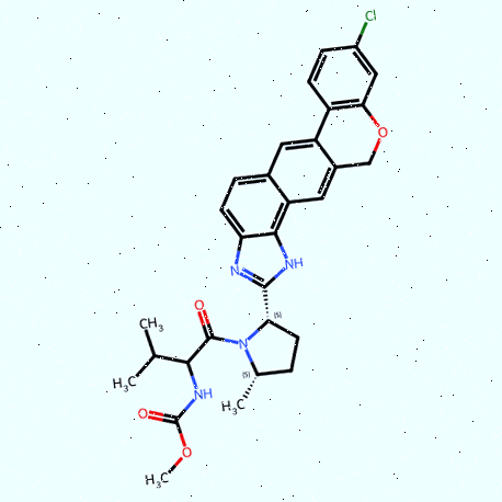 COC(=O)NC(C(=O)N1[C@@H](C)CC[C@H]1c1nc2ccc3cc4c(cc3c2[nH]1)COc1cc(Cl)ccc1-4)C(C)C